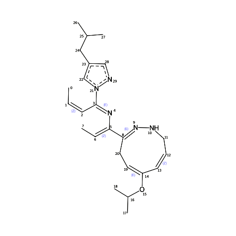 C\C=C/C(=N\C(=C/C)C1=N\NC/C=C\C(OC(C)C)=C/C/1)n1cc(CC(C)C)cn1